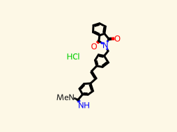 CNC(=N)c1ccc(/C=C/c2ccc(CN3C(=O)c4ccccc4C3=O)cc2)cc1.Cl